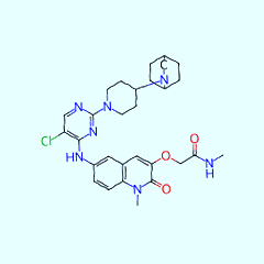 CNC(=O)COc1cc2cc(Nc3nc(N4CCC(N5CC6CCC5CC6)CC4)ncc3Cl)ccc2n(C)c1=O